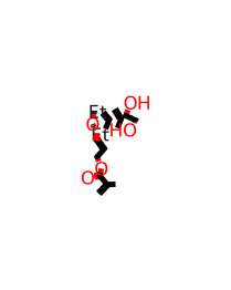 C=CC.C=CC.C=CCOC(=O)C(=C)C.CCOCC.OCCO